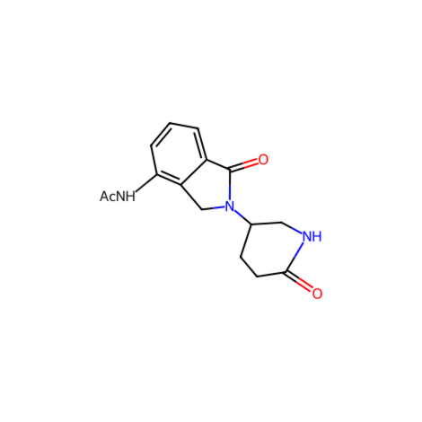 CC(=O)Nc1cccc2c1CN(C1CCC(=O)NC1)C2=O